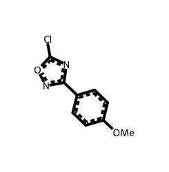 COc1ccc(-c2noc(Cl)n2)cc1